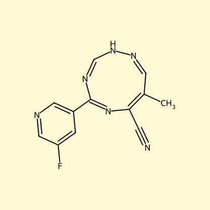 Cc1cn[nH]cnc(-c2cncc(F)c2)nc1C#N